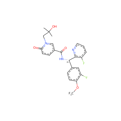 CC(C)(O)Cn1cc(C(=O)N[C@@H](c2ccc(OC(F)(F)F)c(F)c2)c2ncccc2F)ccc1=O